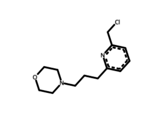 ClCc1cccc(CCCN2CCOCC2)n1